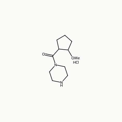 COC1CCCC1C(=O)N1CCNCC1.Cl